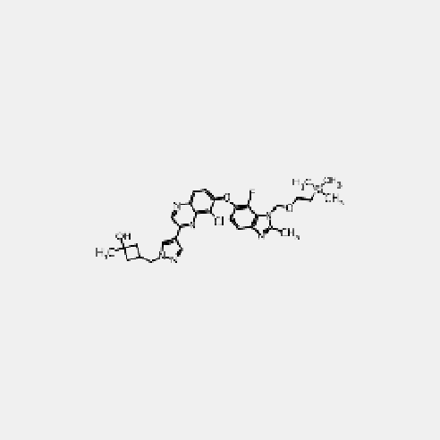 Cc1nc2ccc(Oc3ccc4ncc(-c5cnn(CC6CC(C)(O)C6)c5)nc4c3Cl)c(F)c2n1COCC[Si](C)(C)C